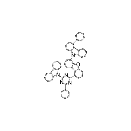 c1ccc(-c2nc(-c3cccc4oc5c(-n6c7ccccc7c7c(-c8ccccc8)cccc76)cccc5c34)nc(-n3c4ccccc4c4ccccc43)n2)cc1